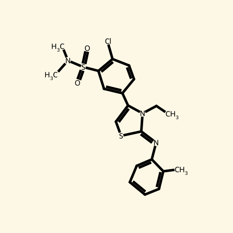 CCn1c(-c2ccc(Cl)c(S(=O)(=O)N(C)C)c2)csc1=Nc1ccccc1C